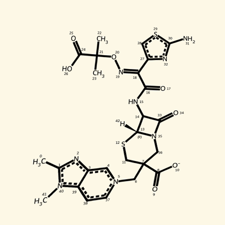 Cc1nc2cn(CC3(C(=O)[O-])CS[C@@H]4C(NC(=O)C(=NOC(C)(C)C(=O)O)c5csc(N)n5)C(=O)N4C3)ccc-2[n+]1C